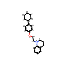 c1ccc2c(c1)CCCN2CCOc1ccc(C2CCCCC2)cc1